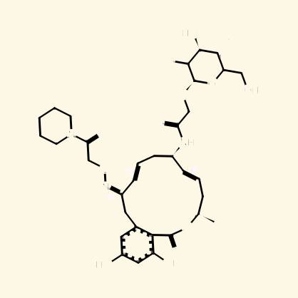 C[C@@H]1C/C=C/[C@H](NC(=O)CS[C@@H]2OC(CO)[C@@H](C)[C@H](O)C2O)C/C=C/C(=N\OCC(=O)N2CCCCC2)Cc2cc(O)cc(O)c2C(=O)O1